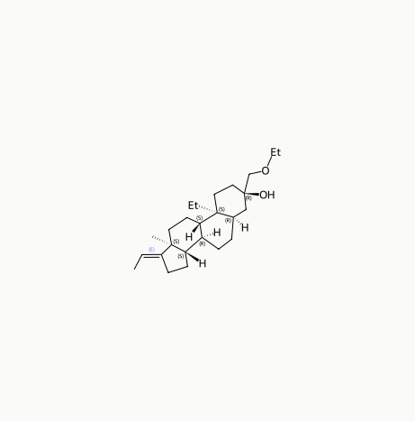 C/C=C1\CC[C@H]2[C@@H]3CC[C@@H]4C[C@@](O)(COCC)CC[C@]4(CC)[C@H]3CC[C@]12C